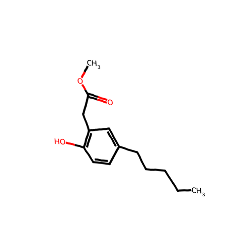 CCCCCc1ccc(O)c(CC(=O)OC)c1